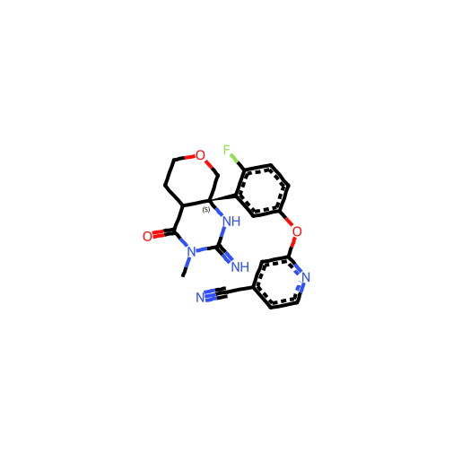 CN1C(=N)N[C@@]2(c3cc(Oc4cc(C#N)ccn4)ccc3F)COCCC2C1=O